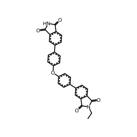 CCN1C(=O)c2ccc(-c3ccc(Oc4ccc(-c5ccc6c(c5)C(=O)NC6=O)cc4)cc3)cc2C1=O